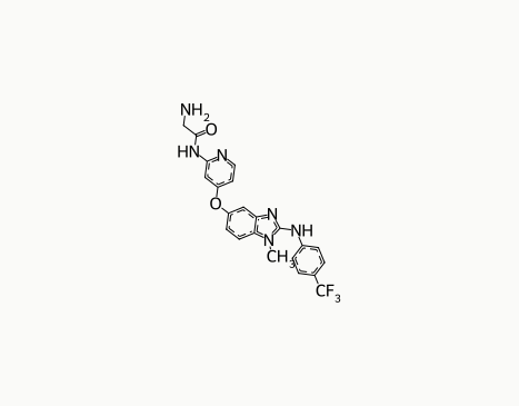 Cn1c(Nc2ccc(C(F)(F)F)cc2)nc2cc(Oc3ccnc(NC(=O)CN)c3)ccc21